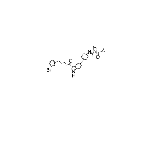 O=C(CCCCc1cccc(Br)c1)c1c[nH]c2ccc(-c3ccc4c(c3)CC(NC(=O)C3CC3)=N4)cc12